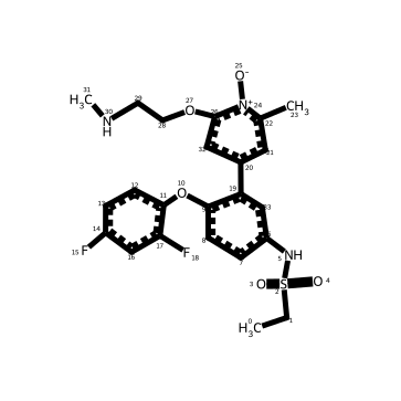 CCS(=O)(=O)Nc1ccc(Oc2ccc(F)cc2F)c(-c2cc(C)[n+]([O-])c(OCCNC)c2)c1